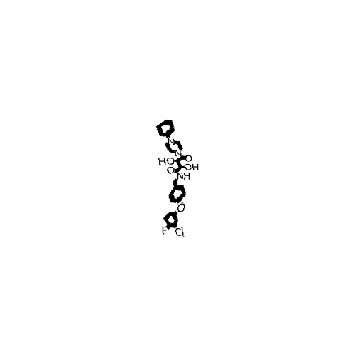 O=C(NCc1ccc(Oc2ccc(F)c(Cl)c2)cc1)[C@H](O)[C@@H](O)C(=O)N1CCN(c2ccccc2)CC1